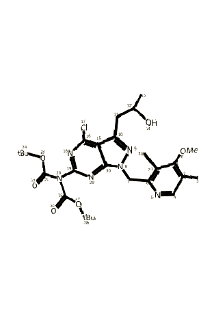 COc1c(C)cnc(Cn2nc(CC(C)O)c3c(Cl)nc(N(C(=O)OC(C)(C)C)C(=O)OC(C)(C)C)nc32)c1C